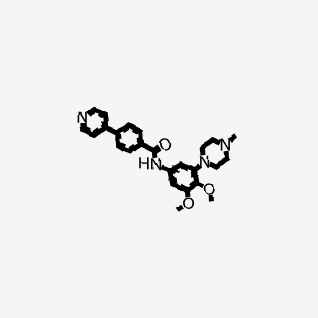 COc1cc(NC(=O)c2ccc(-c3ccncc3)cc2)cc(N2CCN(C)CC2)c1OC